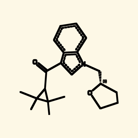 CC1(C)C(C(=O)c2cn(C[C@@H]3CCCO3)c3ccccc23)C1(C)C